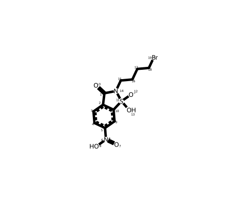 O=C1c2ccc([N+](=O)O)cc2S([O-])(O)N1CCCCBr